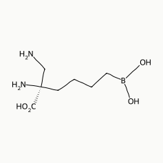 NC[C@](N)(CCCCB(O)O)C(=O)O